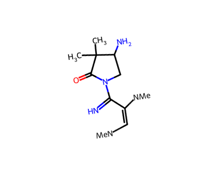 CN/C=C(/NC)C(=N)N1CC(N)C(C)(C)C1=O